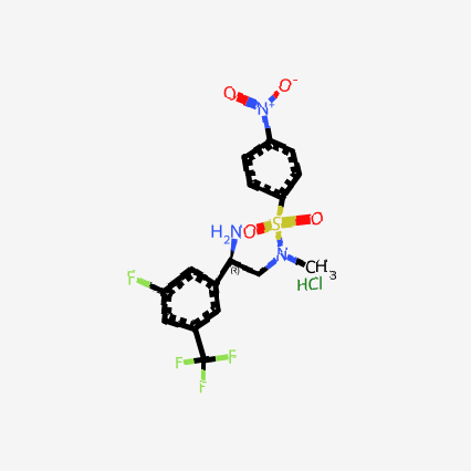 CN(C[C@H](N)c1cc(F)cc(C(F)(F)F)c1)S(=O)(=O)c1ccc([N+](=O)[O-])cc1.Cl